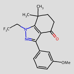 COc1cccc(-c2nn(CC(F)(F)F)c3c2C(=O)CCC3(C)C)c1